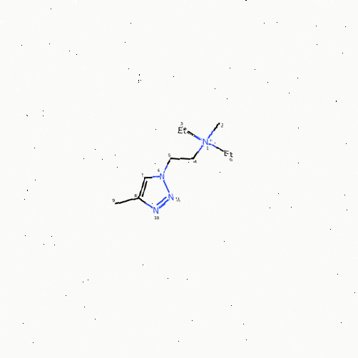 CC[N+](C)(CC)CCn1cc(C)nn1